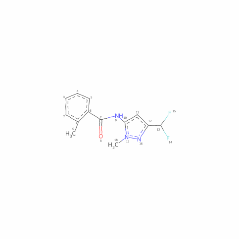 Cc1ccccc1C(=O)Nc1cc(C(F)F)nn1C